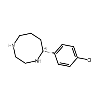 Clc1ccc([C@H]2CCCNCCN2)cc1